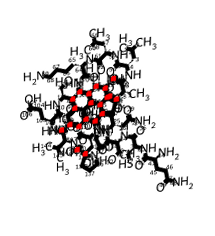 CC(C)C[C@H](NC(=O)[C@H](C)NC(=O)[C@H](Cc1ccc(O)cc1)NC(=O)[C@H](CC(N)=O)NC(=O)[C@@H](NC(=O)[C@H](CS)NC(=O)[C@@H](N)CCC(N)=O)[C@@H](C)O)C(=O)N[C@@H](CC(C)C)C(=O)N[C@@H](CCCCN)C(=O)N[C@@H](CC(C)C)C(=O)N[C@@H](C)C(=O)NCC(=O)N[C@@H](CC(=O)O)C(=O)N[C@H](C(=O)N[C@@H](CCC(=O)O)C(=O)N[C@@H](CO)C(=O)N[C@@H](CC(N)=O)C(=O)N1CCC[C@H]1C(=O)NCC(=O)N1CCC[C@H]1C(=O)O)C(C)C